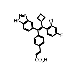 O=C(O)C=Cc1ccc(C(=C(c2ccc(F)cc2Cl)C2CCC2)c2ccc3[nH]nnc3c2)cc1